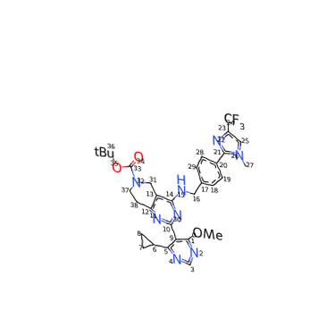 COc1ncnc(C2CC2)c1-c1nc2c(c(NCc3ccc(-c4nc(C(F)(F)F)cn4C)cc3)n1)CN(C(=O)OC(C)(C)C)CC2